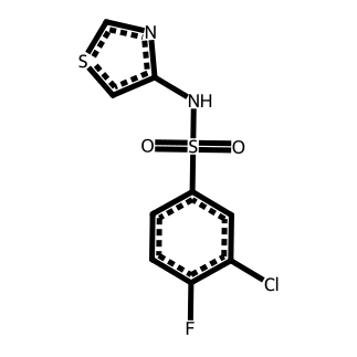 O=S(=O)(Nc1cscn1)c1ccc(F)c(Cl)c1